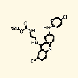 CC(C)(C)OC(=O)NCCNc1c2cc(Cl)ccc2nc2ccc(Nc3ccc(Cl)cc3)cc12